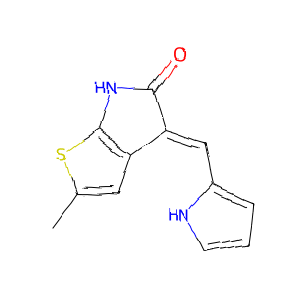 Cc1cc2c(s1)NC(=O)/C2=C/c1ccc[nH]1